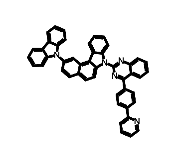 c1ccc(-c2ccc(-c3nc(-n4c5ccccc5c5c6cc(-n7c8ccccc8c8ccccc87)ccc6ccc54)nc4ccccc34)cc2)nc1